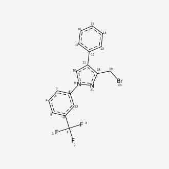 FC(F)(F)c1cccc(-n2cc(-c3ccccc3)c(CBr)n2)c1